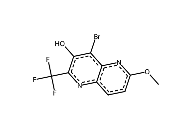 COc1ccc2nc(C(F)(F)F)c(O)c(Br)c2n1